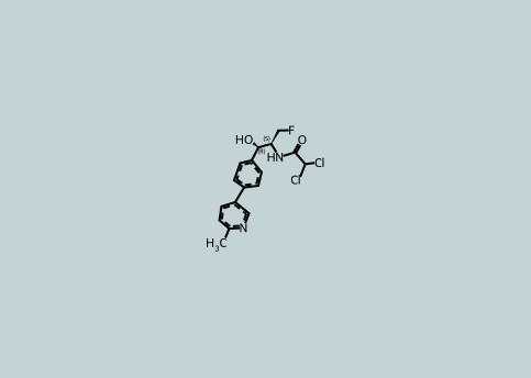 Cc1ccc(-c2ccc([C@@H](O)[C@@H](CF)NC(=O)C(Cl)Cl)cc2)cn1